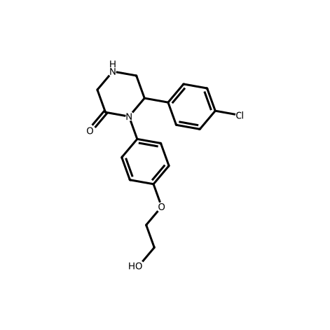 O=C1CNCC(c2ccc(Cl)cc2)N1c1ccc(OCCO)cc1